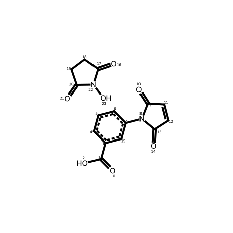 O=C(O)c1cccc(N2C(=O)C=CC2=O)c1.O=C1CCC(=O)N1O